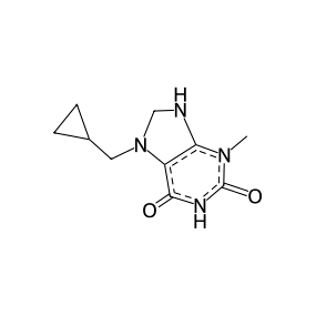 Cn1c2c(c(=O)[nH]c1=O)N(CC1CC1)CN2